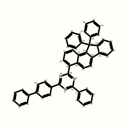 c1ccc(-c2ccc(-c3nc(-c4ccccc4)nc(-c4cccc5c6c(ccc45)-c4ccccc4C6(c4ccccc4)c4ccccc4)n3)cc2)cc1